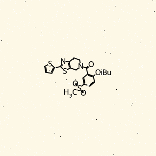 CC(C)COc1ccc(S(C)(=O)=O)cc1C(=O)N1CCc2nc(-c3cccs3)sc2C1